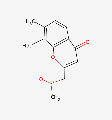 Cc1ccc2c(=O)cc(C[S+](C)[O-])oc2c1C